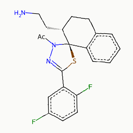 CC(=O)N1N=C(c2cc(F)ccc2F)S[C@@]12c1ccccc1CC[C@H]2CCN